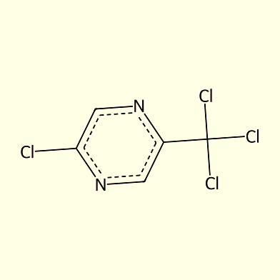 Clc1cnc(C(Cl)(Cl)Cl)cn1